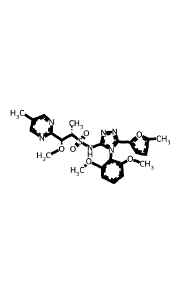 COc1cccc(OC)c1-n1c(NS(=O)(=O)[C@@H](C)[C@H](OC)c2ncc(C)cn2)nnc1-c1ccc(C)o1